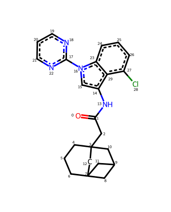 O=C(CC12CCCC3(CC(C1)C3)C2)Nc1cn(-c2ncccn2)c2cccc(Cl)c12